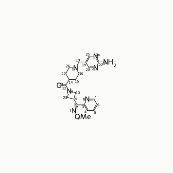 CO/N=C(\c1ccccn1)C1CN(C(=O)C2CCN(Cc3cnc(N)nc3)CC2)C1